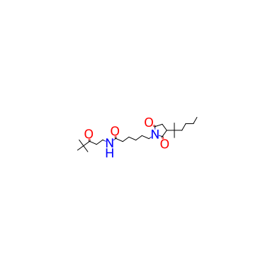 CCCCC(C)(C)C1CC(=O)N(CCCCCC(=O)NCCC(=O)C(C)(C)C)C1=O